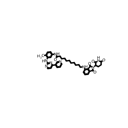 Cc1ccc(NC(=O)CCCCCCCCCCNc2cccc3c2C(=O)N(C2CCC(=O)NC2=O)C3=O)cc1Nc1nccc(-c2cccnc2)n1